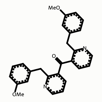 COc1cccc(Cc2ncccc2C(=O)c2cccnc2Cc2cccc(OC)c2)c1